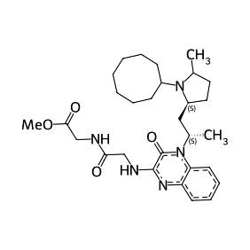 COC(=O)CNC(=O)CNc1nc2ccccc2n([C@@H](C)C[C@@H]2CCC(C)N2C2CCCCCCC2)c1=O